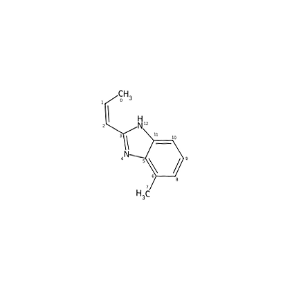 C/C=C\c1nc2c(C)cccc2[nH]1